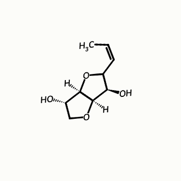 C/C=C\C1O[C@H]2[C@H](OC[C@@H]2O)[C@@H]1O